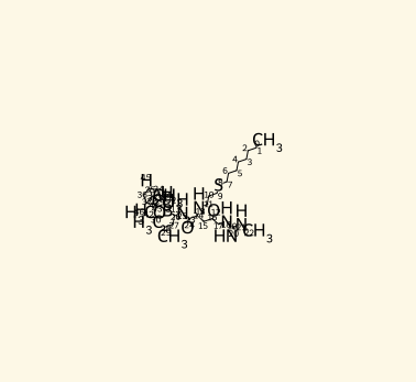 CCCCCCCCSCCC(=O)N[C@@H](CCCNC(=N)NC)C(=O)N[C@@H](CC(C)C)B1O[C@@H]2C[C@@H]3C[C@@H](C3(C)C)[C@]2(C)O1